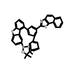 CC1(C)OB(c2ccc3sc4cccc(-c5cc(-c6ccccc6)cc(-c6nc7ccc8ccccc8c7s6)c5)c4c3c2)OC1(C)C